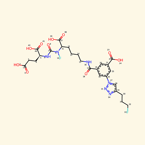 O=C(O)CC[C@H](NC(=O)N(F)C(CCCCNC(=O)c1cc(C(=O)O)cc(-n2cc(CCCF)nn2)c1)C(=O)O)C(=O)O